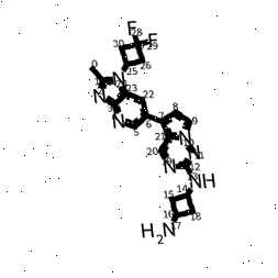 Cc1nc2ncc(-c3ccn4nc(NC5CC(N)C5)ncc34)cc2n1C1CC(F)(F)C1